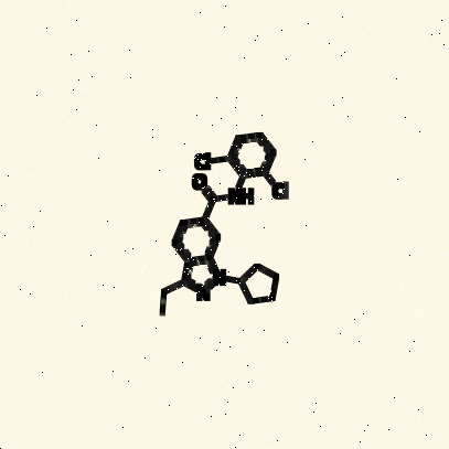 CCc1nn(C2CCCC2)c2cc(C(=O)Nc3c(Cl)cccc3Cl)ccc12